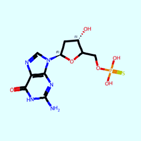 Nc1nc2c(ncn2[C@H]2C[C@H](O)C(COP(O)(O)=S)O2)c(=O)[nH]1